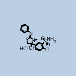 CN1C(=Nc2ccccc2)SCC1(O)c1ccc(Cl)c(S(N)(=O)=O)c1.Cl